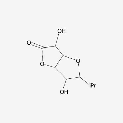 CC(C)C1OC2C(O)C(=O)OC2C1O